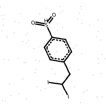 O=[SH](=O)c1ccc(CC(I)I)cc1